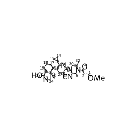 COCCC(=O)N1CCN(c2nc(C3CC3)c(-c3cccc4c(O)ncnc34)cc2C#N)CC1C